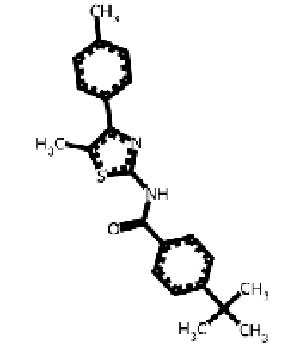 Cc1ccc(-c2nc(NC(=O)c3ccc(C(C)(C)C)cc3)sc2C)cc1